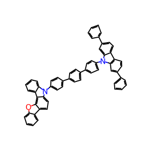 c1ccc(-c2ccc3c4ccc(-c5ccccc5)cc4n(-c4ccc(-c5ccc(-c6ccc(-n7c8ccccc8c8c9oc%10ccccc%10c9ccc87)cc6)cc5)cc4)c3c2)cc1